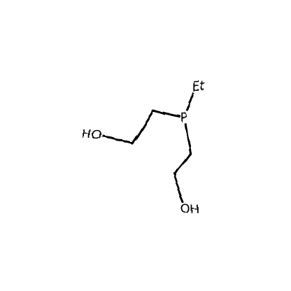 CCP(CCO)CCO